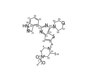 CS(=O)(=O)N1CCN(Cc2cc3nc(-c4cccc5[nH]ncc45)nc(N4CCOCC4)c3s2)C(I)C1